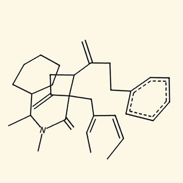 C=C(CCc1ccccc1)C1CC(=C)C1(CC(/C=C\C)=C/C)C(=C)N(C)C(C)C1CCCCC1